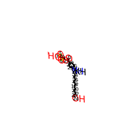 O=C(OCS(=O)(=O)O)c1ccc(NCCCCCCCCCCCO)cc1.[KH]